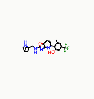 Cc1cc(C(F)(F)F)cc(O)c1-c1ccc2oc(NCC34CC(CN3)C4)nc2n1